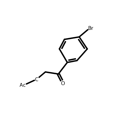 CC(=O)CCC(=O)c1ccc(Br)cc1